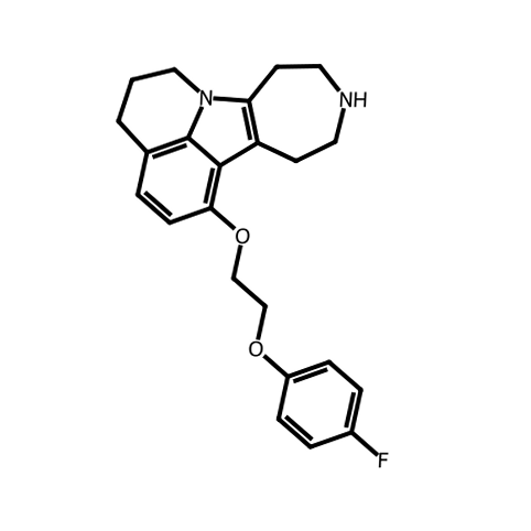 Fc1ccc(OCCOc2ccc3c4c2c2c(n4CCC3)CCNCC2)cc1